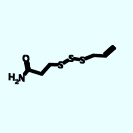 C=CCSSSCCC(N)=O